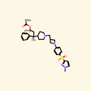 CCC[C@H](CC(C#N)(c1ccccc1)C1CCN(CC2CN(c3ccc(S(=O)(=O)c4ccn(C)n4)cc3)C2)CC1)OC(=O)NC